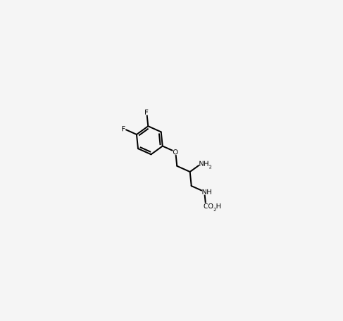 NC(CNC(=O)O)COc1ccc(F)c(F)c1